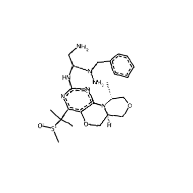 C[C@@H]1COC[C@H]2COc3c(nc(NC(CN)N(N)Cc4ccccc4)nc3C(C)(C)[S+](C)[O-])N21